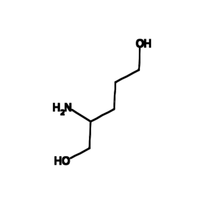 NC(CO)CCCO